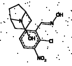 O=[N+]([O-])c1ccc(N2C3CCC2CC(O)C3)c(C=NO)c1Cl